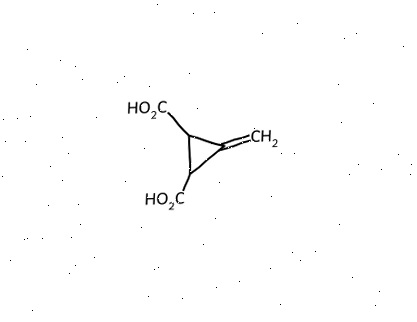 C=C1C(C(=O)O)C1C(=O)O